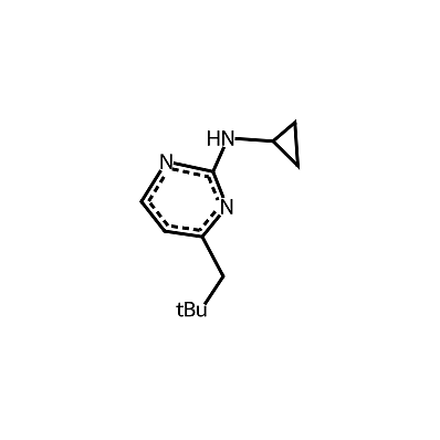 CC(C)(C)Cc1ccnc(NC2CC2)n1